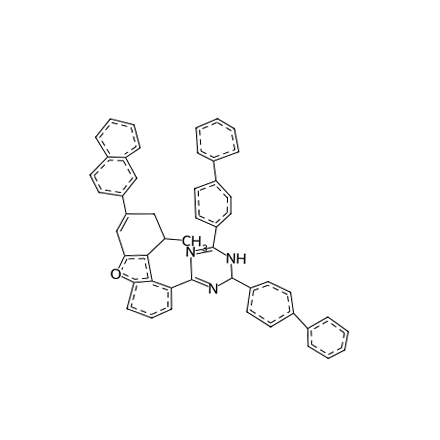 CC1CC(c2ccc3ccccc3c2)=Cc2oc3cccc(C4=NC(c5ccc(-c6ccccc6)cc5)NC(c5ccc(-c6ccccc6)cc5)=N4)c3c21